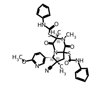 COc1ccc([C@@H]2N3C(=O)[C@](C)(SC(=O)Nc4ccccc4)N(C)C(=O)C3(SC(=O)Nc3ccccc3)C[C@]2(C)C#N)cn1